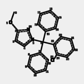 COc1ccn(C(c2ccccc2)(c2ccccc2)c2ccccc2Cl)n1